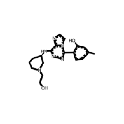 Cc1ccc(-c2nnc(N[C@@H]3CCCN(CCO)C3)c3nccn23)c(O)c1